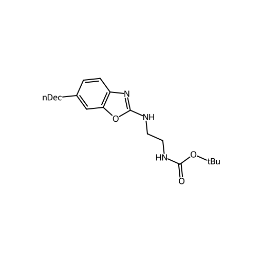 CCCCCCCCCCc1ccc2nc(NCCNC(=O)OC(C)(C)C)oc2c1